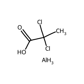 CC(Cl)(Cl)C(=O)O.[AlH3]